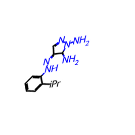 CC(C)c1ccccc1NN=C1C=NN(N)C1N